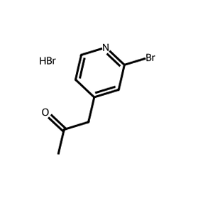 Br.CC(=O)Cc1ccnc(Br)c1